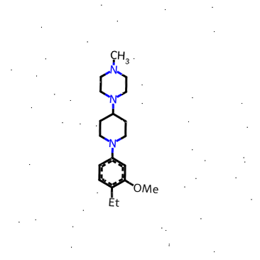 CCc1ccc(N2CCC(N3CCN(C)CC3)CC2)cc1OC